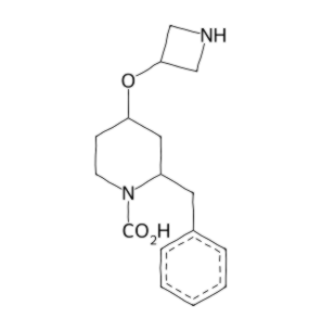 O=C(O)N1CCC(OC2CNC2)CC1Cc1ccccc1